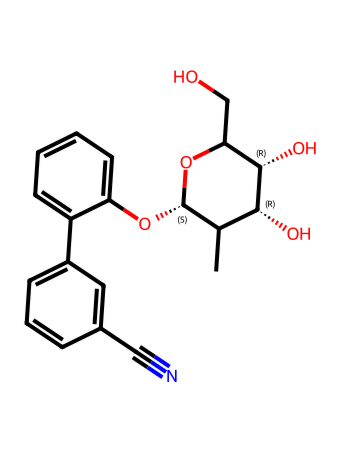 CC1[C@H](Oc2ccccc2-c2cccc(C#N)c2)OC(CO)[C@H](O)[C@@H]1O